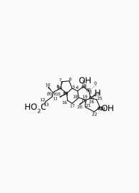 C[C@H]1[C@@H](O)C2C3CC[C@H]([C@H](C)CCC(=O)O)[C@@]3(C)CCC2[C@@]2(C)CC[C@@H](O)C[C@@H]12